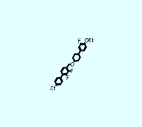 CCOc1ccc(C2CCC(OCc3ccc(-c4ccc(CC)cc4)c(F)c3F)CC2)cc1F